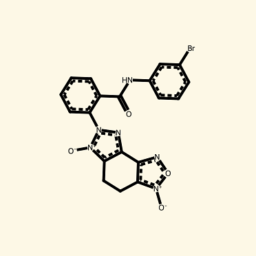 O=C(Nc1cccc(Br)c1)c1ccccc1-n1nc2c([n+]1[O-])CCc1c-2no[n+]1[O-]